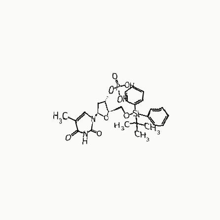 Cc1cn([C@H]2C[C@H](OP(=O)(O)O)[C@@H](CO[Si](c3ccccc3)(c3ccccc3)C(C)(C)C)O2)c(=O)[nH]c1=O